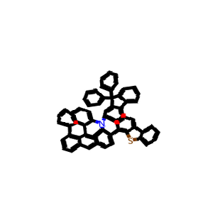 c1ccc(-c2cccc3cccc(-c4ccccc4N(c4ccc5c(c4)C(c4ccccc4)(c4ccccc4)c4ccccc4-5)c4ccccc4-c4cccc5c4sc4ccccc45)c23)cc1